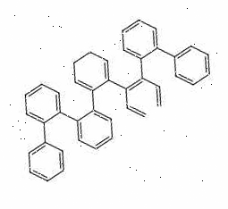 C=C/C(C1=CCCC=C1c1ccccc1-c1ccccc1-c1ccccc1)=C(\C=C)c1ccccc1-c1ccccc1